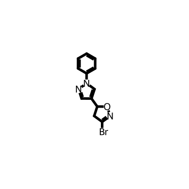 BrC1=NOC(c2cnn(-c3ccccc3)c2)C1